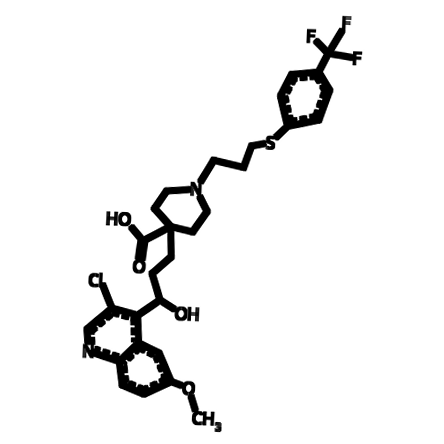 COc1ccc2ncc(Cl)c(C(O)CCC3(C(=O)O)CCN(CCCSc4ccc(C(F)(F)F)cc4)CC3)c2c1